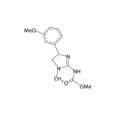 COC(=O)NC1=NC(c2cccc(OC)c2)CN1C